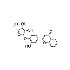 O=c1cc(-c2ccc(O[C@@H]3O[C@H](CO)[C@@H](O)[C@H]3O)c(O)c2)oc2ccccc12